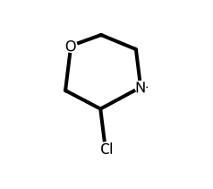 ClC1COCC[N]1